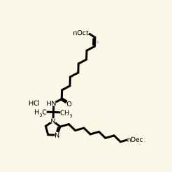 CCCCCCCC/C=C\CCCCCCCC(=O)NC(C)(C)N1CCN=C1CCCCCCCCCCCCCCCCCC.Cl